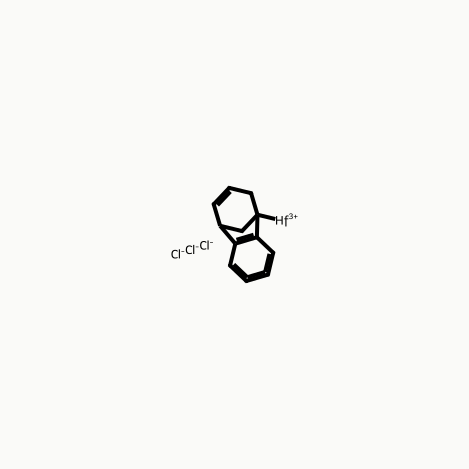 [Cl-].[Cl-].[Cl-].[Hf+3][C]12CC=CC(C1)C1=C2C=C=C=C1